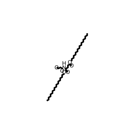 CCCCCCCCCCCCCCCCCCOC(=O)CCC(NC(=O)CCOC)C(=O)OCCCCCCCCCCCCCCCCCC